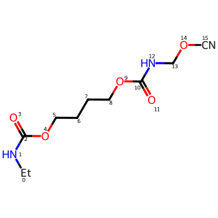 CCNC(=O)OCCCCOC(=O)NCOC#N